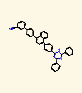 N#Cc1cccc(-c2ccc(-c3ccc(-c4ccc(C5=NC(c6ccccc6)=NC(c6ccccc6)N5)cc4)c4ccccc34)cc2)c1